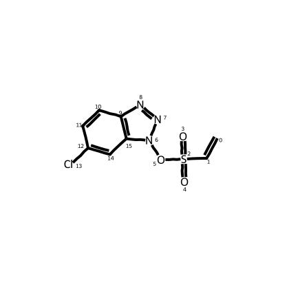 C=CS(=O)(=O)On1nnc2ccc(Cl)cc21